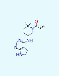 C=CC(=O)N1CC(Nc2ncnc3c2CCN3)CCC1(C)C